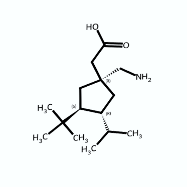 CC(C)[C@H]1C[C@](CN)(CC(=O)O)C[C@@H]1C(C)(C)C